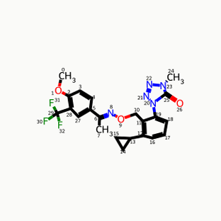 COc1ccc(C(C)=NOCc2c(C3CC3)cccc2-n2nnn(C)c2=O)cc1C(F)(F)F